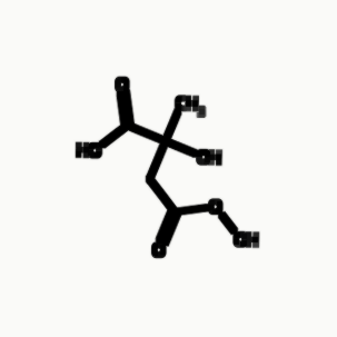 CC(O)(CC(=O)OO)C(=O)O